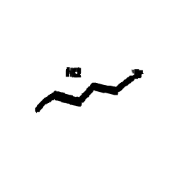 CC=CC=[CH][Zr].Cl